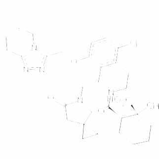 C[C@]1(C(=O)O)CCCC[C@H]1C(=O)N1CCc2c(Cl)ccc(OCc3nnc4n3CCCC4)c2[C@H]1CN1CC2(CC2)CC1=O